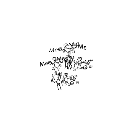 COc1cc(-c2cnc3[nH]cc(C(=O)C4(C)COC(C)(C)OC4)c3n2)cc(OC)c1OC.COc1cc(-c2cnc3[nH]cc(C(=O)C4(C)COC(C)(C)OC4)c3n2)cc(OC)c1OC